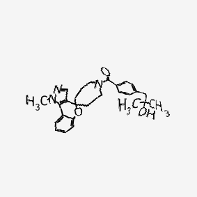 Cn1ncc2c1-c1ccccc1OC21CCN(C(=O)c2ccc(CC(C)(C)O)cc2)CC1